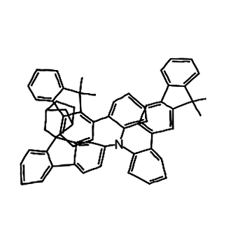 CC1(C)c2ccccc2-c2ccc(-c3ccccc3N(c3ccc4c(c3)C3(CC5CCC3C5)c3ccccc3-4)c3ccccc3-c3cccc4c3C(C)(C)c3ccccc3-4)cc21